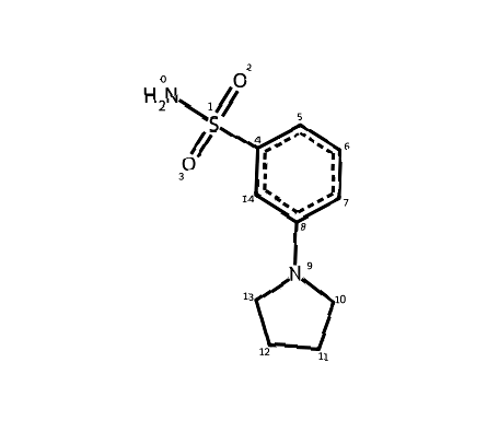 NS(=O)(=O)c1cccc(N2CCCC2)c1